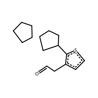 C1CCCC1.O=CCc1ccsc1C1CCCC1